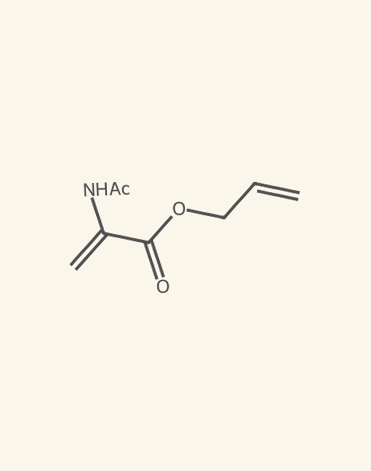 C=CCOC(=O)C(=C)NC(C)=O